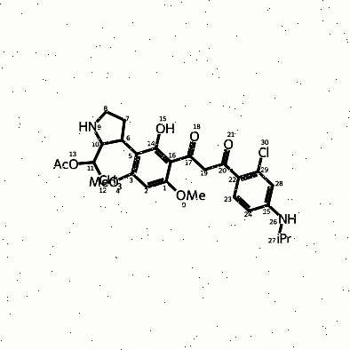 COc1cc(OC)c(C2CCNC2C(C)OC(C)=O)c(O)c1C(=O)CC(=O)c1ccc(NC(C)C)cc1Cl